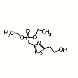 CCOP(=O)(Cc1csc(CCO)n1)OCC